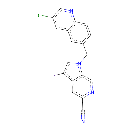 N#Cc1cc2c(I)cn(Cc3ccc4ncc(Cl)cc4c3)c2cn1